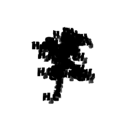 CCCCCCCCCCN(CCC(=O)N[C@@H](CCCCNC(=O)OC(C)(C)C)C(=O)N(C)[C@H](C(=O)N[C@@H](C)C(=O)N[C@@H](C)C(=O)O)c1ccc(OC(=O)OC(C)(C)C)c(-c2cc(C)ccc2OC(=O)OC(C)(C)C)c1)C(=O)OC(C)(C)C